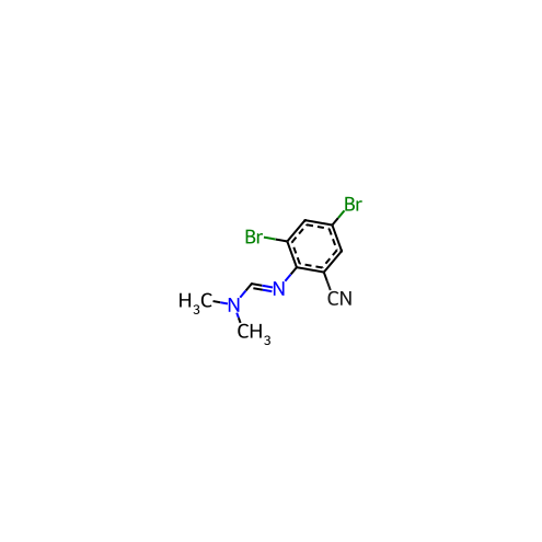 CN(C)C=Nc1c(Br)cc(Br)cc1C#N